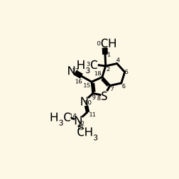 C#CC1(C)CCCc2sc(/N=C/N(C)C)c(C#N)c21